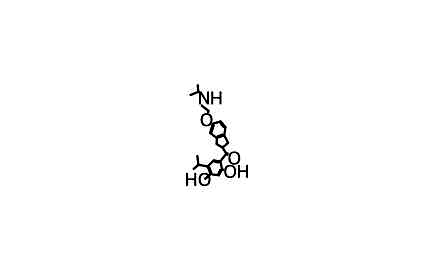 CC(C)NCCOc1ccc2c(c1)CC(C(=O)c1cc(C(C)C)c(O)cc1O)C2